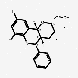 OC[C@@H]1CC[C@@H]2[C@@H](c3ccccc3)Nc3c(F)cc(F)cc3[C@@H]2O1